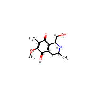 COC1=C(C)C(=O)C2=C(CC(C)NC2CO)C1=O